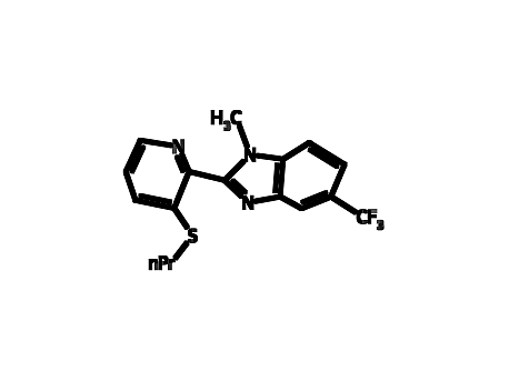 CCCSc1cccnc1-c1nc2cc(C(F)(F)F)ccc2n1C